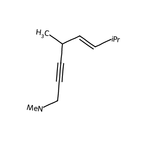 CNCC#CC(C)/C=C/C(C)C